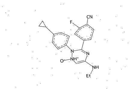 CCNC1=C[NH+]([O-])N(c2ccc(C3CC3)cc2)C(c2ccc(C#N)c(F)c2)=N1